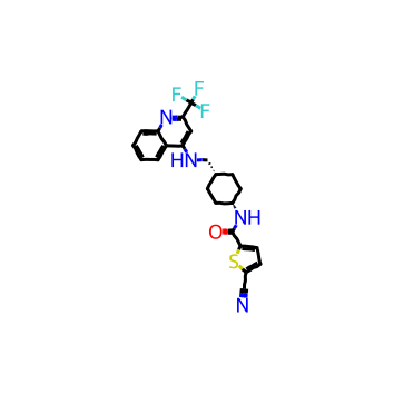 N#Cc1ccc(C(=O)N[C@H]2CC[C@@H](CNc3cc(C(F)(F)F)nc4ccccc34)CC2)s1